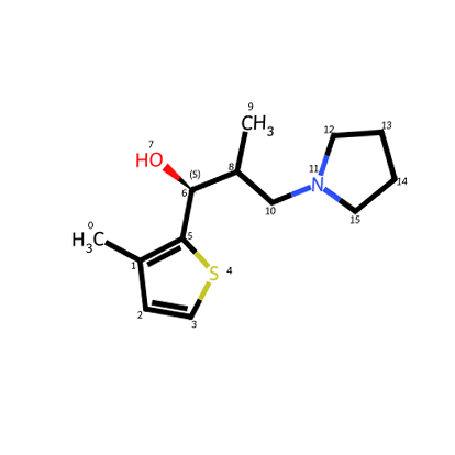 Cc1ccsc1[C@@H](O)C(C)CN1CCCC1